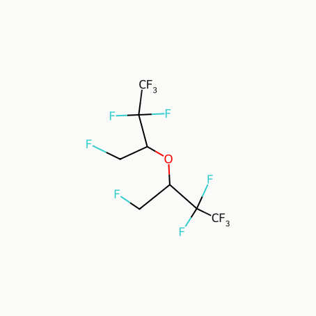 FCC(OC(CF)C(F)(F)C(F)(F)F)C(F)(F)C(F)(F)F